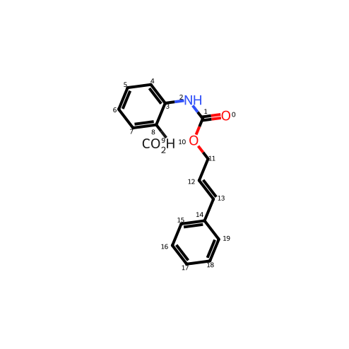 O=C(Nc1ccccc1C(=O)O)OCC=Cc1ccccc1